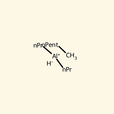 CCCCCC.CC[CH2][Al+][CH2]CC.[H-]